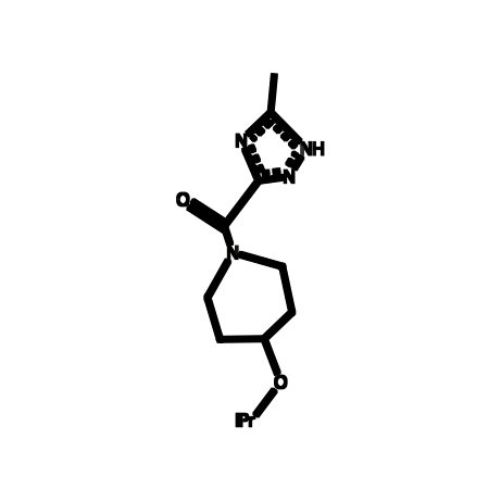 Cc1nc(C(=O)N2CCC(OC(C)C)CC2)n[nH]1